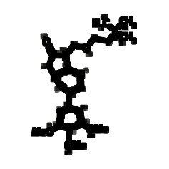 COc1cc(-c2cnc3c(c2)CC(=O)N3COCCS(C)(C)C)cc(OC)c1OC